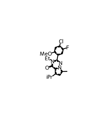 CCn1c(-c2cc(F)c(Cl)cc2OC)nn2c(C)cc(C(C)C)c2c1=O